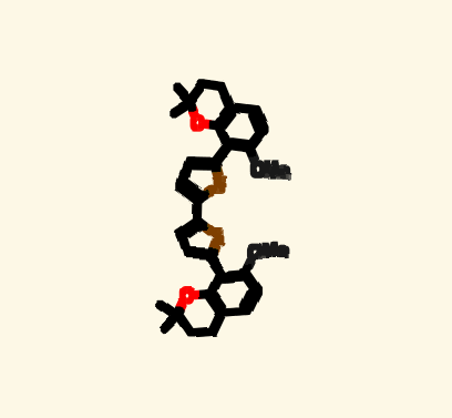 COc1ccc2c(c1-c1ccc(-c3ccc(-c4c(OC)ccc5c4OC(C)(C)CC5)s3)s1)OC(C)(C)CC2